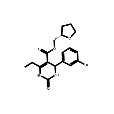 CCC1=C(C(=O)OC[C@@H]2CCCO2)C(c2cccc(O)c2)NC(=O)N1